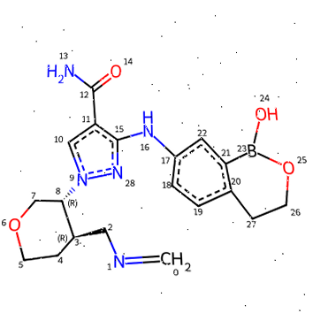 C=NC[C@H]1CCOC[C@@H]1n1cc(C(N)=O)c(Nc2ccc3c(c2)B(O)OCC3)n1